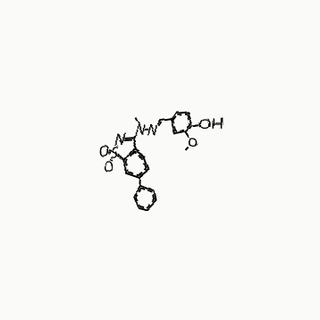 COc1cc(C=NN(C)C2=NS(=O)(=O)c3cc(-c4ccccc4)ccc32)ccc1O